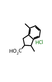 Cc1cccc2c1CC(C(=O)O)C2C.Cl